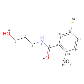 O=C(NCCCO)c1cc(F)ccc1[N+](=O)[O-]